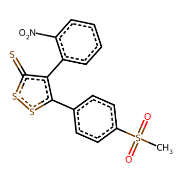 CS(=O)(=O)c1ccc(-c2ssc(=S)c2-c2ccccc2[N+](=O)[O-])cc1